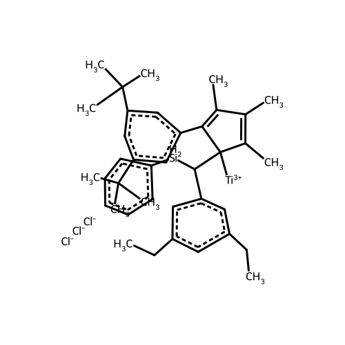 CCc1cc(CC)cc(C([SiH2]c2ccccc2)[C]2([Ti+3])C(C)=C(C)C(C)=C2c2cc(C(C)(C)C)cc(C(C)(C)C)c2)c1.[Cl-].[Cl-].[Cl-]